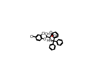 CC(Oc1ccc(Cl)cc1Cl)C(NC(c1ccccc1)(c1ccccc1)c1ccccc1)C(=O)O